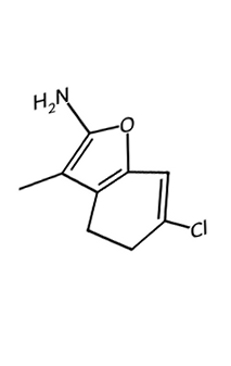 Cc1c(N)oc2c1CCC(Cl)=C2